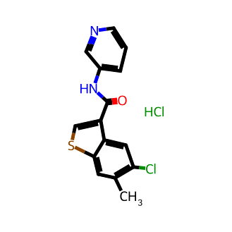 Cc1cc2scc(C(=O)Nc3cccnc3)c2cc1Cl.Cl